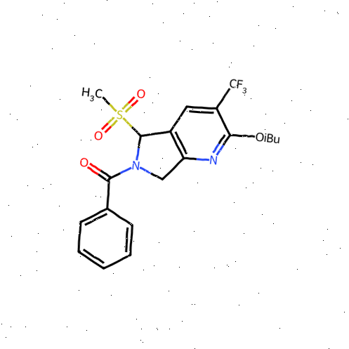 CC(C)COc1nc2c(cc1C(F)(F)F)C(S(C)(=O)=O)N(C(=O)c1ccccc1)C2